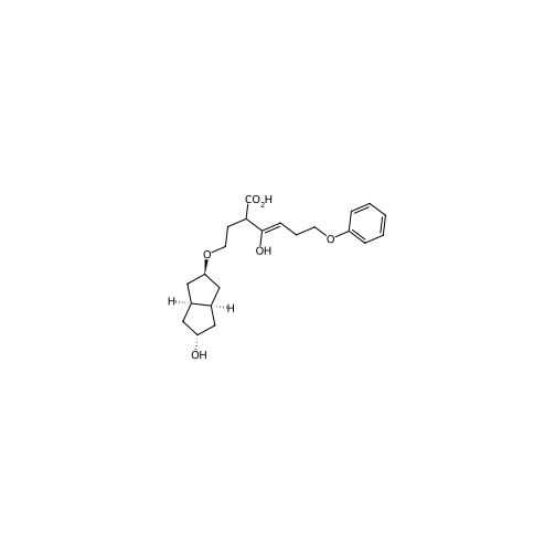 O=C(O)C(CCO[C@H]1C[C@H]2C[C@H](O)C[C@H]2C1)C(O)=CCCOc1ccccc1